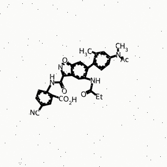 CCC(=O)Nc1cc2c(C(=O)Nc3ccc(C#N)cc3C(=O)O)noc2cc1-c1ccc(N(C)C(C)=O)cc1C